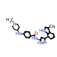 CN1CCC(Nc2ccc(C(=O)Nc3cc(-c4cccc5c(C#N)c[nH]c45)n[nH]3)cc2)CC1